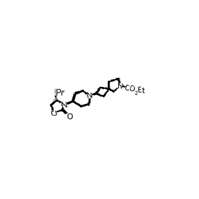 CCOC(=O)N1CCC2(CC(N3CCC(N4C(=O)OC[C@@H]4C(C)C)CC3)C2)C1